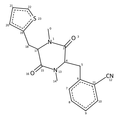 CN1C(=O)C(Cc2ccccc2C#N)N(C)C(=O)C1Cc1cccs1